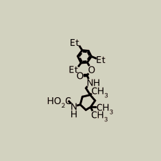 CCc1cc(CC)c(OC(=O)NCC2(C)CC(NC(=O)O)CC(C)(C)C2)c(CC)c1